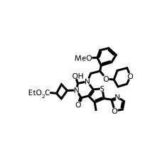 CCOC(=O)C1CC(N2C(=O)c3c(sc(-c4ncco4)c3C)N(CC(OC3CCOCC3)c3ccccc3OC)C2O)C1